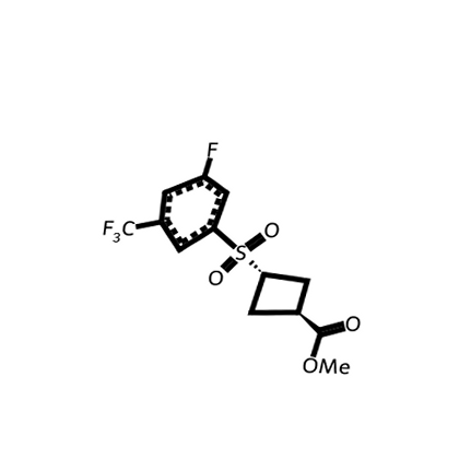 COC(=O)[C@H]1C[C@H](S(=O)(=O)c2cc(F)cc(C(F)(F)F)c2)C1